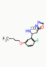 O=C(O)NC(Cc1nnco1)c1cc(OCCCC(F)(F)F)ccc1F